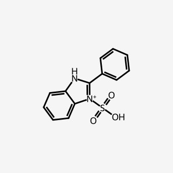 O=S(=O)(O)[n+]1c(-c2ccccc2)[nH]c2ccccc21